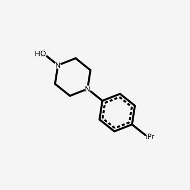 CC(C)c1ccc(N2CCN(O)CC2)cc1